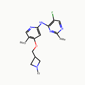 CCN1CC(COc2cc(Nc3nc(NC)ncc3F)ncc2OC)C1